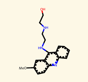 COc1ccc2nc3ccccc3c(NCCNCCO)c2c1